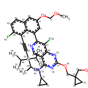 COCOc1cc(-c2ncc3c(NC4CC4)nc(OCC4(CO)CC4)nc3c2F)c2c(C#C[Si](C(C)C)(C(C)C)C(C)C)c(F)ccc2c1